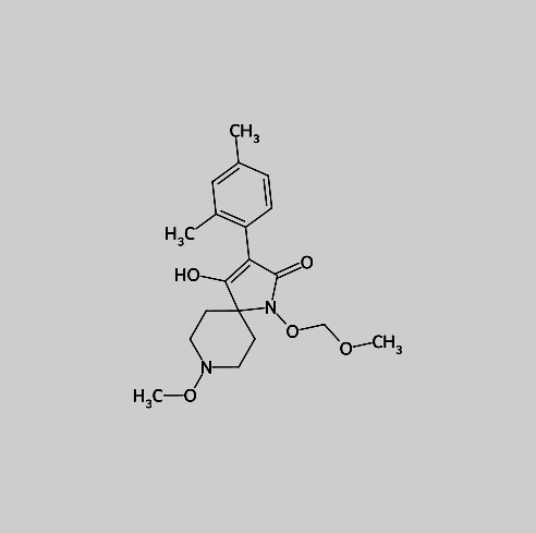 COCON1C(=O)C(c2ccc(C)cc2C)=C(O)C12CCN(OC)CC2